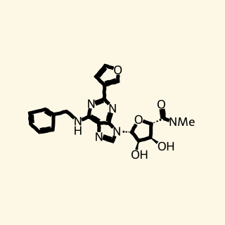 CNC(=O)[C@H]1O[C@@H](n2cnc3c(NCc4ccccc4)nc(-c4ccoc4)nc32)[C@H](O)[C@@H]1O